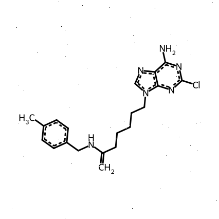 C=C(CCCCCn1cnc2c(N)nc(Cl)nc21)NCc1ccc(C)cc1